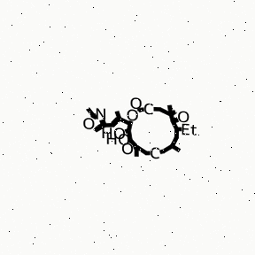 CCC1CC(C)CCCC2(C)OC2(O)C(O)C(C(C)=Cc2coc(C)n2)OC(=O)CCC(C)(C)C1=O